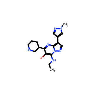 CCNc1c(Br)c(C2CCCNC2)nc2c(-c3cnn(C)c3)cnn12